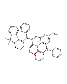 C=Cc1cc(N(c2ccccc2)c2ccccc2)c2c(c1)cc(N(C1=C3c4ccccc4C(C)(C)C3CCC1)c1ccccc1)c1ccccc12